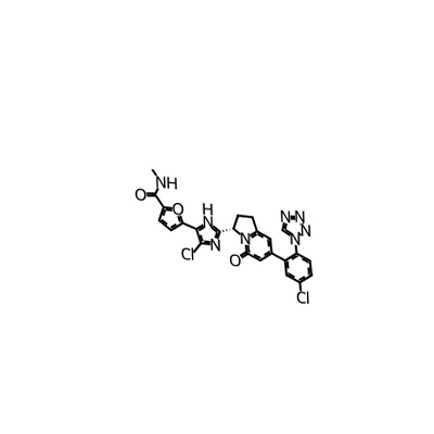 CNC(=O)c1ccc(-c2[nH]c([C@@H]3CCc4cc(-c5cc(Cl)ccc5-n5cnnn5)cc(=O)n43)nc2Cl)o1